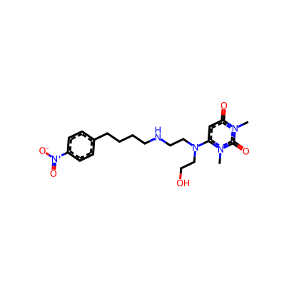 Cn1c(N(CCO)CCNCCCCc2ccc([N+](=O)[O-])cc2)cc(=O)n(C)c1=O